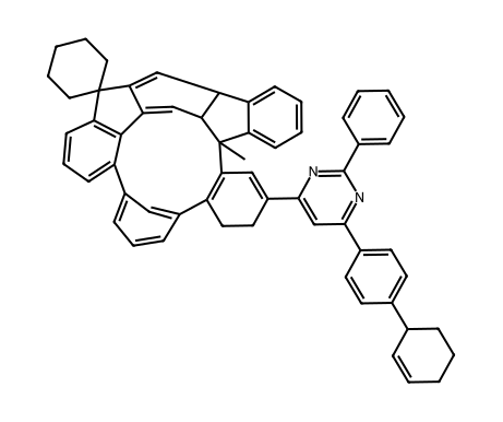 CC12C3=C(CCC(c4cc(-c5ccc(C6C=CCCC6)cc5)nc(-c5ccccc5)n4)=C3)c3cccc(c3)-c3cccc4c3C3=CC1C(C=C3C41CCCCC1)c1ccccc12